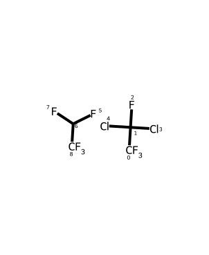 FC(F)(F)C(F)(Cl)Cl.FC(F)C(F)(F)F